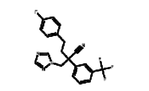 N#CC(CCc1ccc(F)cc1)(Cn1cncn1)c1cccc(C(F)(F)F)c1